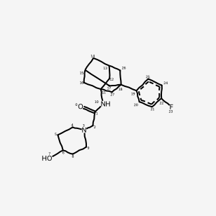 O=C(CN1CCC(O)CC1)NC12CC3CC(C1)CC(c1ccc(F)cc1)(C3)C2